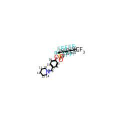 O=S(=O)(Oc1ccc(CN2CCCCC2)cc1)C(F)(F)C(F)(F)C(F)(F)C(F)(F)C(F)(F)C(F)(F)F